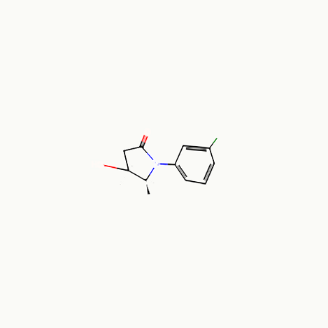 C[C@@H]1N(c2cccc(Cl)c2)C(=O)C[C@]1(C)O